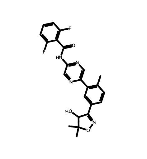 Cc1ccc(C2=NOC(C)(C)C2O)cc1-c1cnc(NC(=O)c2c(F)cccc2F)cn1